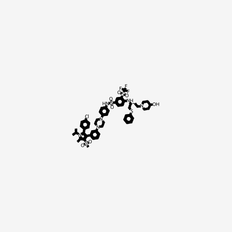 Cc1c(S(C)(=O)=O)c(-c2cccc(N3CCN(c4ccc(NS(=O)(=O)c5ccc(N[C@H](CCN6CCC(O)CC6)CSc6ccccc6)c(S(=O)(=O)C(F)(F)F)c5)cc4)CC3)c2)c(-c2ccc(Cl)cc2)n1C(C)C